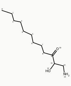 CCCCCCCCCC(=O)C(O)CN